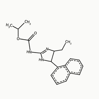 CCC1N=C(NC(=O)OC(C)C)NC1c1cccc2ccccc12